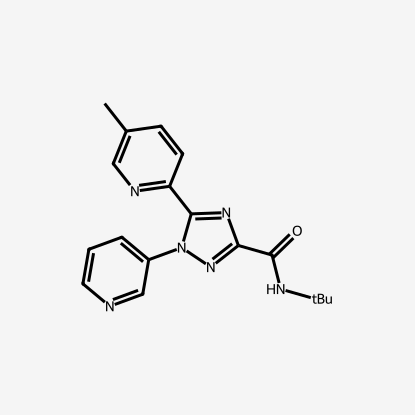 Cc1ccc(-c2nc(C(=O)NC(C)(C)C)nn2-c2cccnc2)nc1